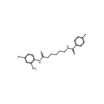 Cc1ccc(C(=O)NCCCCCC(=O)Nc2ccc(Br)cc2N)cc1